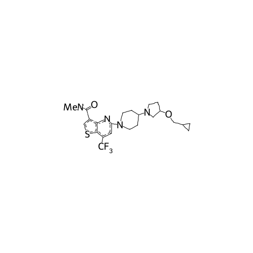 CNC(=O)c1csc2c(C(F)(F)F)cc(N3CCC(N4CCC(OCC5CC5)C4)CC3)nc12